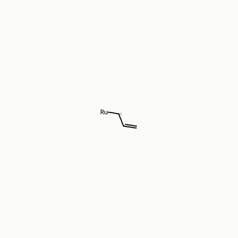 C=C[C][Ru]